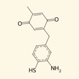 CC1=CC(=O)C(Cc2ccc(S)c(N)c2)=CC1=O